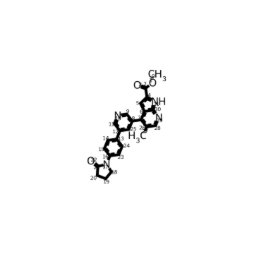 COC(=O)c1cc2c(-c3cncc(-c4ccc(N5CCCC5=O)cc4)c3)c(C)cnc2[nH]1